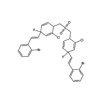 O=S(=O)(CC1C=CC(F)(/C=C/c2ccccc2Br)C=C1Cl)CC1C=CC(F)(/C=C/c2ccccc2Br)C=C1Cl